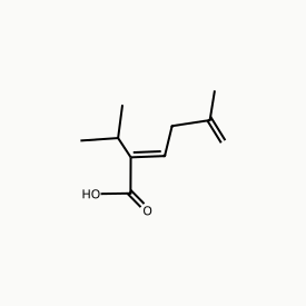 C=C(C)C/C=C(/C(=O)O)C(C)C